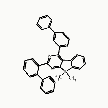 C[Si]1(C)c2ccccc2-c2c(-c3cccc(-c4ccccc4)c3)nc(-c3ccccc3-c3ccccc3)nc21